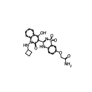 NC(=O)COc1ccc2c(c1)S(=O)(=O)N=C(c1c(O)c3ccccc3n(NC3CCC3)c1=O)N2